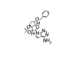 CC1(C)O[C@H]2[C@H](n3ccc4c(N)ncnc43)O[C@@H]3[C@H](OCc4ccccc4)CC[C@@]32O1